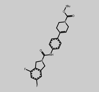 CC(C)(C)OC(=O)N1CC=C(c2ccc(NC(=O)N3Cc4cc(F)cc(F)c4C3)cc2)CC1